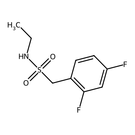 CCNS(=O)(=O)Cc1ccc(F)cc1F